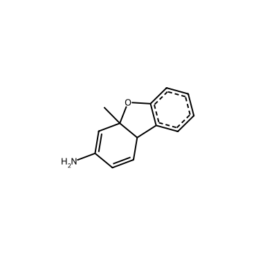 CC12C=C(N)C=CC1c1ccccc1O2